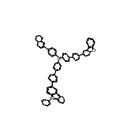 c1ccc(-n2c3ccccc3c3cc(-c4ccc(-c5ccc(N(c6ccc(-c7ccc(-c8ccc9oc%10ccccc%10c9c8)cc7)cc6)c6ccc(-c7ccc8ccccc8c7)cc6)cc5)cc4)ccc32)cc1